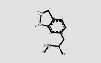 CN[C@H](C)Cc1ccc2c(c1)OOC2